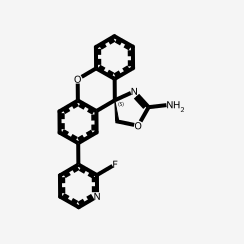 NC1=N[C@@]2(CO1)c1ccccc1Oc1ccc(-c3cccnc3F)cc12